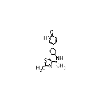 Cc1nc([C@@H](C)NC2CC[C@H](c3ccc(=O)[nH]c3)C2)cs1